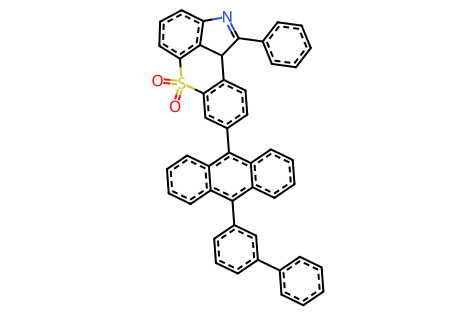 O=S1(=O)c2cc(-c3c4ccccc4c(-c4cccc(-c5ccccc5)c4)c4ccccc34)ccc2C2C(c3ccccc3)=Nc3cccc1c32